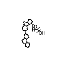 CC(C)(O)C(C)(C)OBc1cccc2sc3ccc(-c4ccc5c(ccc6ccccc65)c4)cc3c12